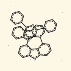 c1ccc(-c2nc(-c3ccccc3)nc(-c3cccc4oc5cccc(-c6cccc7c6oc6ccccc67)c5c34)n2)cc1